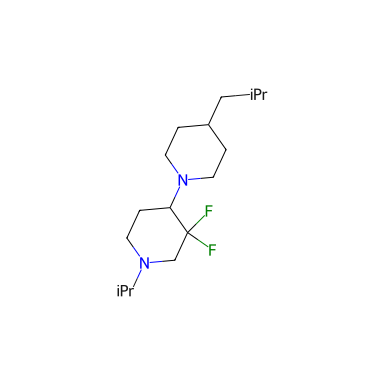 CC(C)CC1CCN(C2CCN(C(C)C)CC2(F)F)CC1